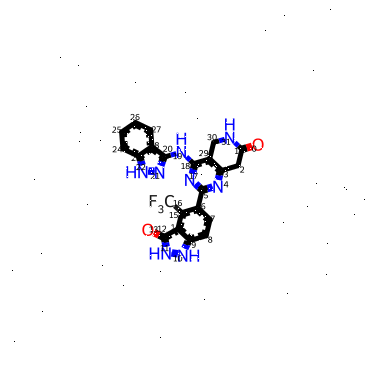 O=C1Cc2nc(-c3ccc4[nH][nH]c(=O)c4c3C(F)(F)F)nc(Nc3n[nH]c4ccccc34)c2CN1